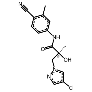 Cc1cc(NC(=O)[C@@](C)(O)Cn2cc(Cl)cn2)ccc1C#N